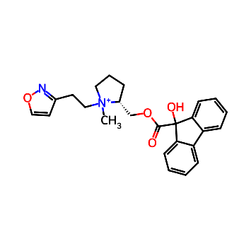 C[N+]1(CCc2ccon2)CCC[C@@H]1COC(=O)C1(O)c2ccccc2-c2ccccc21